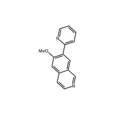 COc1cc2ccncc2cc1-c1ccccn1